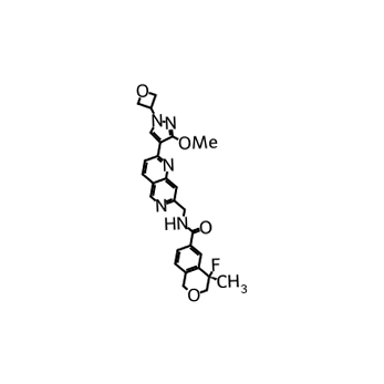 COc1nn(C2COC2)cc1-c1ccc2cnc(CNC(=O)c3ccc4c(c3)[C@](C)(F)COC4)cc2n1